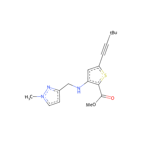 COC(=O)c1sc(C#CC(C)(C)C)cc1NCc1ccn(C)n1